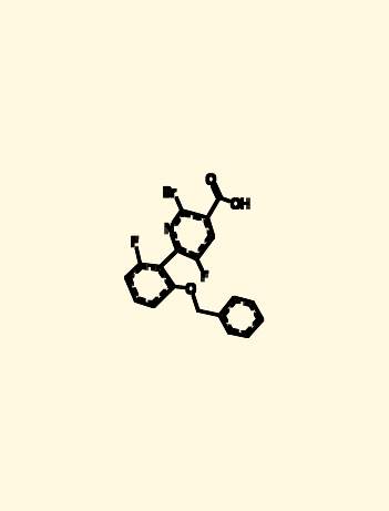 O=C(O)c1cc(F)c(-c2c(F)cccc2OCc2ccccc2)nc1Br